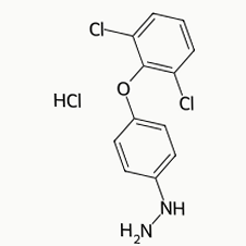 Cl.NNc1ccc(Oc2c(Cl)cccc2Cl)cc1